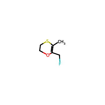 CC1=C(CF)OCCS1